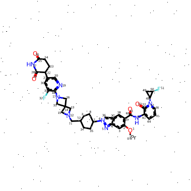 CC(C)Oc1cc2nn(C3CCC(CN4CC5(C4)CN(c4ncc(C6CCC(=O)NC6=O)cc4F)C5)CC3)cc2cc1C(=O)Nc1cccn([C@H]2C[C@H]2F)c1=O